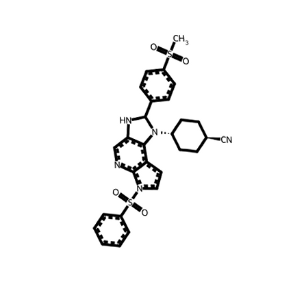 CS(=O)(=O)c1ccc(C2Nc3cnc4c(ccn4S(=O)(=O)c4ccccc4)c3N2[C@H]2CC[C@H](C#N)CC2)cc1